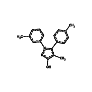 Cc1ccc(-c2c(C)c(O)nn2-c2cccc(C)c2)cc1